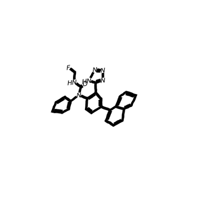 O=C(NCF)N(c1ccccc1)c1ccc(-c2cccc3ccccc23)cc1-c1nnn[nH]1